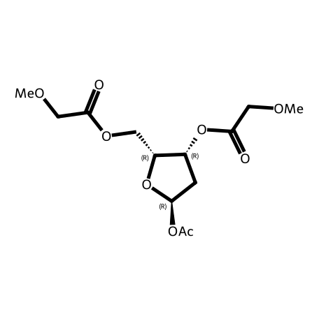 COCC(=O)OC[C@H]1O[C@H](OC(C)=O)C[C@H]1OC(=O)COC